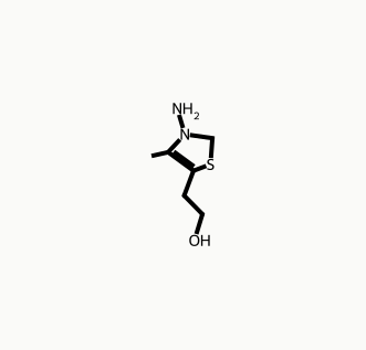 CC1=C(CCO)SCN1N